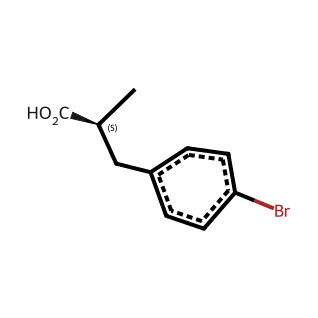 C[C@@H](Cc1ccc(Br)cc1)C(=O)O